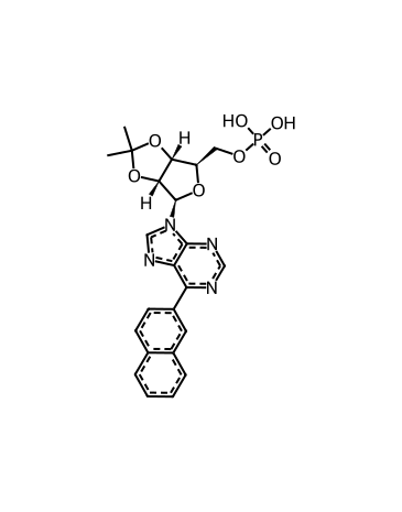 CC1(C)O[C@@H]2[C@H](O1)[C@@H](COP(=O)(O)O)O[C@H]2n1cnc2c(-c3ccc4ccccc4c3)ncnc21